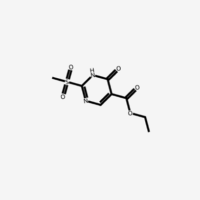 CCOC(=O)c1cnc(S(C)(=O)=O)[nH]c1=O